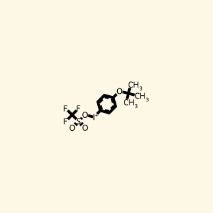 CC(C)(C)Oc1ccc([I+]OS(=O)(=O)C(F)(F)F)cc1